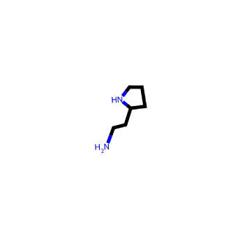 NCCC1CCCN1